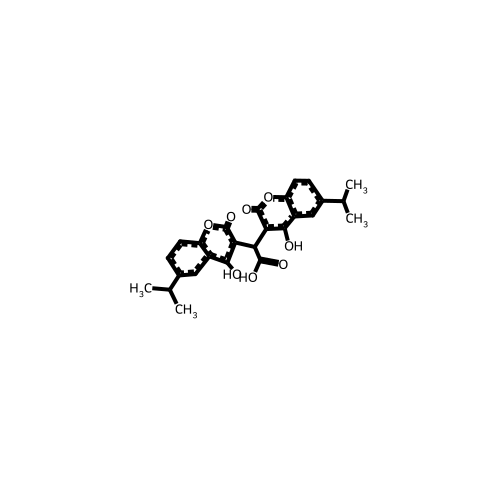 CC(C)c1ccc2oc(=O)c(C(C(=O)O)c3c(O)c4cc(C(C)C)ccc4oc3=O)c(O)c2c1